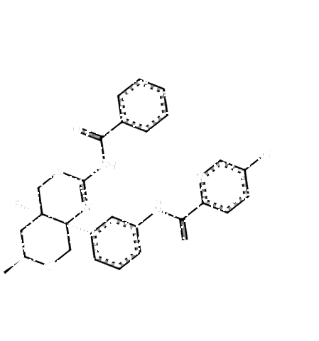 C[C@H]1C[C@@]2(F)CSC(NC(=O)c3ccccc3)=N[C@@]2(c2cccc(NC(=O)c3ccc(Cl)cn3)c2)CO1